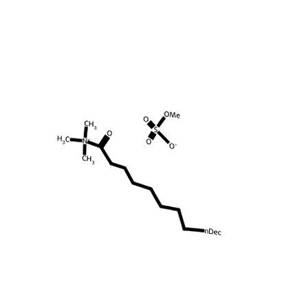 CCCCCCCCCCCCCCCCCC(=O)[N+](C)(C)C.COS(=O)(=O)[O-]